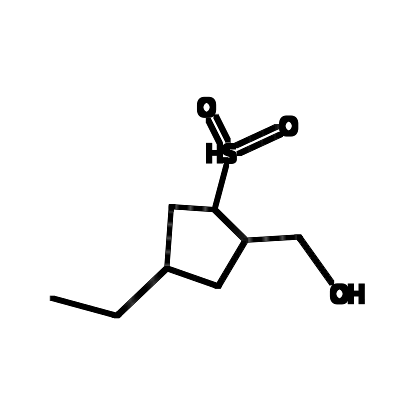 CCC1CC(CO)C([SH](=O)=O)C1